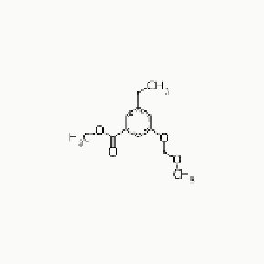 CCc1cc(OCOC)cc(C(=O)OC)c1